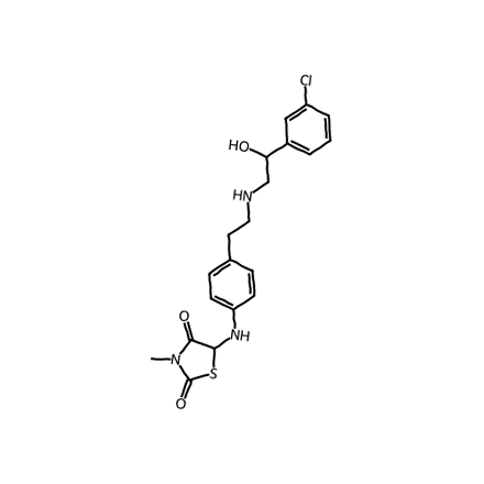 CN1C(=O)SC(Nc2ccc(CCNCC(O)c3cccc(Cl)c3)cc2)C1=O